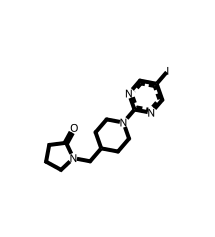 O=C1CCCN1CC1CCN(c2ncc(I)cn2)CC1